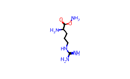 N=C(N)NCCCC(N)C(=O)ON